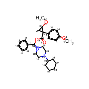 COc1ccc(C2(C(=O)OC(c3ccccc3)N3CCN(C4CCCCC4)CC3)CC2OC)cc1